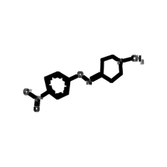 CN1CCC(=NOc2ccc([N+](=O)[O-])cc2)CC1